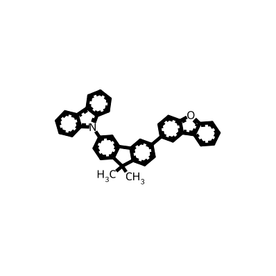 CC1(C)c2ccc(-c3ccc4oc5ccccc5c4c3)cc2-c2cc(-n3c4ccccc4c4ccccc43)ccc21